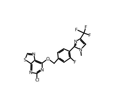 Cn1cc(C(F)(F)F)nc1-c1ccc(COc2nc(Cl)nc3scnc23)cc1F